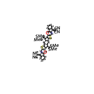 CSC(SC)=C1c2cc3c(cc2-c2sc(/C=C4\C(=O)c5ccccc5C4=C(C#N)C#N)cc21)C(C(SC)SC)c1cc(/C=C2\C(=O)c4ccccc4C2=C(C#N)C#N)sc1-3